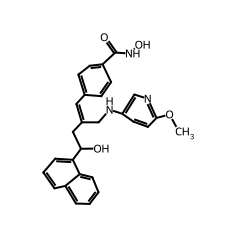 COc1ccc(NCC(=Cc2ccc(C(=O)NO)cc2)CC(O)c2cccc3ccccc23)cn1